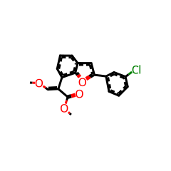 CO/C=C(/C(=O)OC)c1cccc2cc(-c3cccc(Cl)c3)oc12